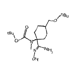 CCCCOCC1CCC(/C(N)=N/O)(N(C)C(=O)OC(C)(C)C)CC1